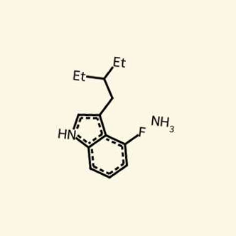 CCC(CC)Cc1c[nH]c2cccc(F)c12.N